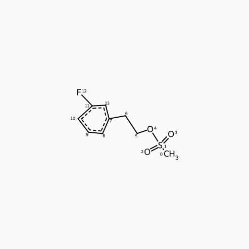 CS(=O)(=O)OCCc1cccc(F)c1